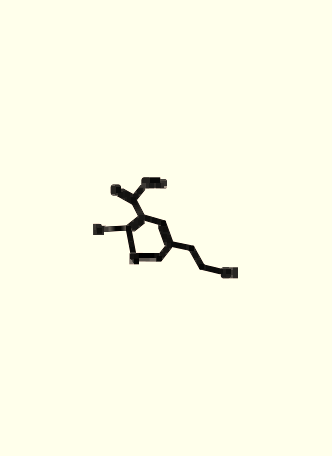 COC(=O)c1cc(CCO)cnc1Br